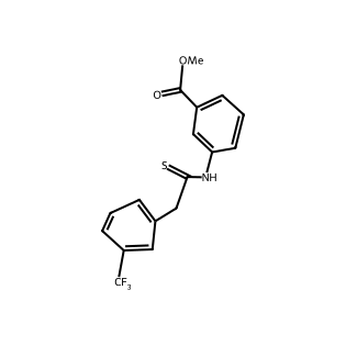 COC(=O)c1cccc(NC(=S)Cc2cccc(C(F)(F)F)c2)c1